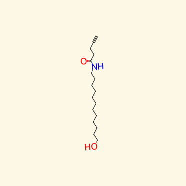 C#CCCC(=O)NCCCCCCCCCCCCO